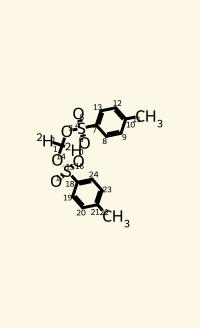 [2H]C([2H])(OS(=O)(=O)c1ccc(C)cc1)OS(=O)(=O)c1ccc(C)cc1